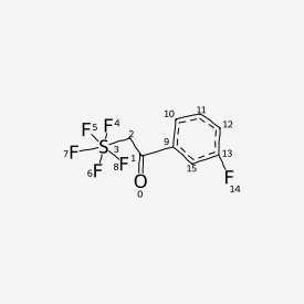 O=C(CS(F)(F)(F)(F)F)c1cccc(F)c1